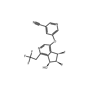 N#Cc1cncc(Oc2cnc(CC(F)(F)F)c3c2[C@@H](F)[C@@H](F)[C@H]3O)c1